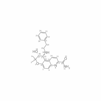 CC1(C)Oc2ccc3nc(C(N)=O)ccc3c2[C@H](NCCc2ccccc2)[C@H]1O